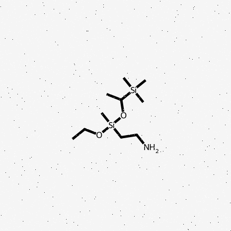 CCO[Si](C)(CCN)OC(C)[Si](C)(C)C